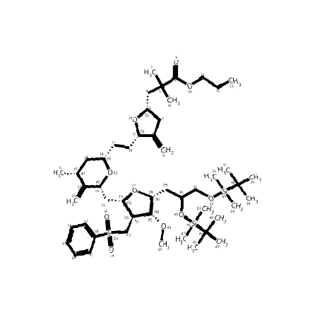 C=C1C[C@@H](CC(C)(C)C(=O)OCCC)O[C@H]1CC[C@H]1C[C@@H](C)C(=C)[C@@H](C[C@@H]2O[C@H](CC(CO[Si](C)(C)C(C)(C)C)O[Si](C)(C)C(C)(C)C)[C@H](OC)[C@H]2CS(=O)(=O)c2ccccc2)O1